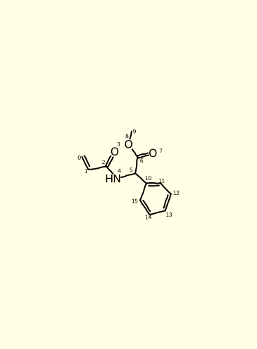 C=CC(=O)NC(C(=O)OC)c1ccccc1